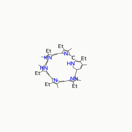 CCC1=C2CC3N=C(/C=c4\[nH]/c(c(C)c4CC)=c4\[nH]/c(c(CC)c4C)=C\C4=NC(=C\c5[nH]c(c(C)c5CC)C(C=C1C)CN2)/C(C)=C4CC)C(CC)=C3C